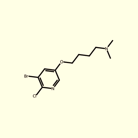 CN(C)CCCCOc1cnc(Cl)c(Br)c1